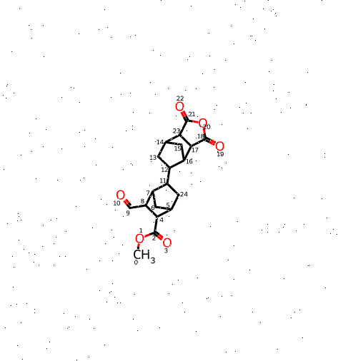 COC(=O)C1C2CC(C1C=O)C(C1CC3CC1C1C(=O)OC(=O)C31)C2